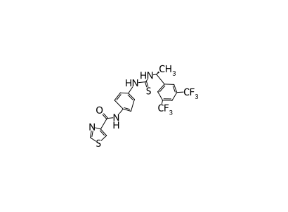 C[C@H](NC(=S)Nc1ccc(NC(=O)c2cscn2)cc1)c1cc(C(F)(F)F)cc(C(F)(F)F)c1